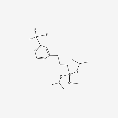 CO[Si](CCCc1cccc(C(F)(F)F)c1)(OC(C)C)OC(C)C